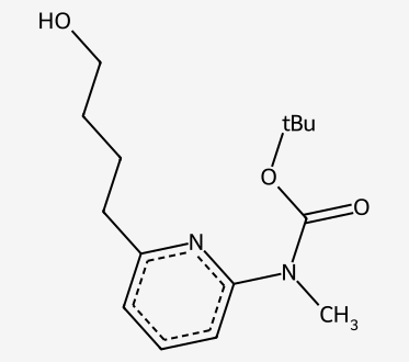 CN(C(=O)OC(C)(C)C)c1cccc(CCCCO)n1